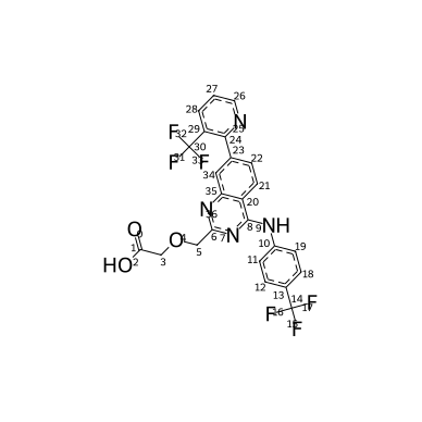 O=C(O)COCc1nc(Nc2ccc(C(F)(F)F)cc2)c2ccc(-c3ncccc3C(F)(F)F)cc2n1